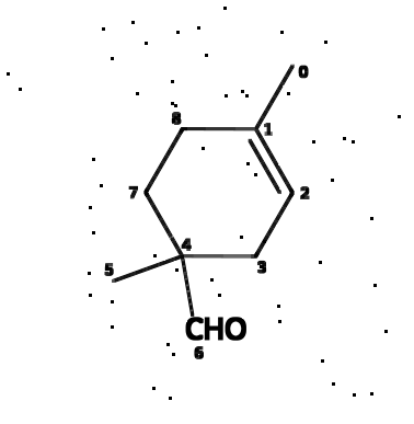 CC1=CCC(C)(C=O)CC1